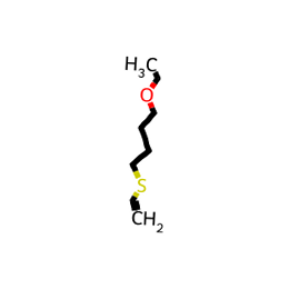 C=CSCCCCOCC